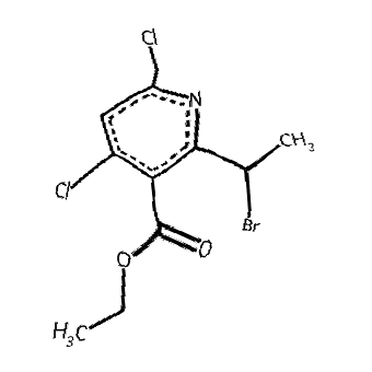 CCOC(=O)c1c(Cl)cc(Cl)nc1C(C)Br